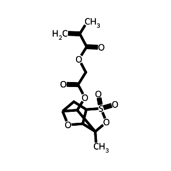 C=C(C)C(=O)OCC(=O)OC1C2CC3C(O2)C1(C)OS3(=O)=O